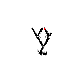 CCCCCCCCC(CCC)OC(=O)CCCCCCCN(CCCCCCCC(=O)OC(CCCCCCCC)CCCCCCCC)CCCNc1c(NCCC)c(=O)c1=O